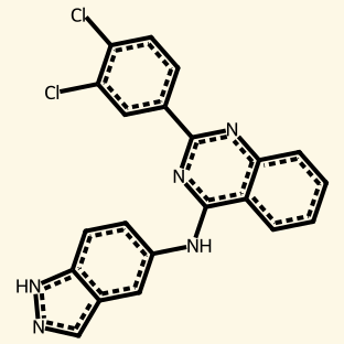 Clc1ccc(-c2nc(Nc3ccc4[nH]ncc4c3)c3ccccc3n2)cc1Cl